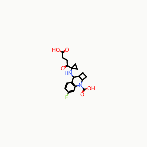 O=C(O)CCC(=O)C1(NC2c3ccc(F)cc3N(C(=O)O)C3CCC23)CC1